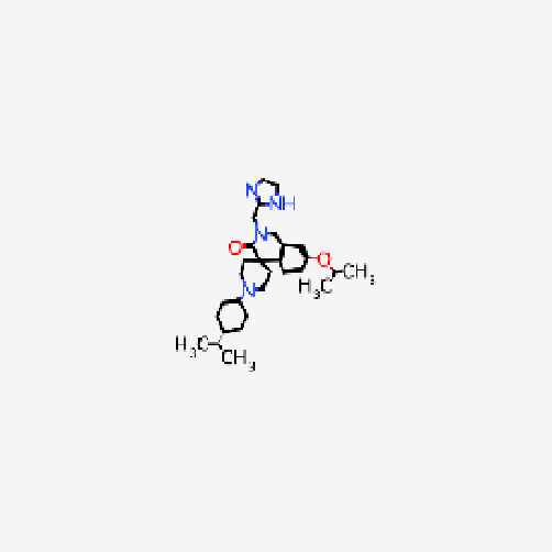 CC(C)Oc1ccc2c(c1)CN(CC1=NCCN1)C(=O)C21CCN([C@H]2CC[C@@H](C(C)C)CC2)CC1